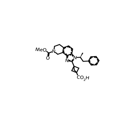 COC(=O)N1CCc2ccc3c(nc(C45CC(C(=O)O)(C4)C5)n3[C@@H](C)Cc3ccccc3)c2C1